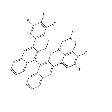 CCc1c(-c2cc(F)c(F)c(F)c2)cc2ccccc2c1-c1c(CN(CC(C)C)CC(C)C)c(-c2cc(F)c(F)c(F)c2)cc2ccccc12